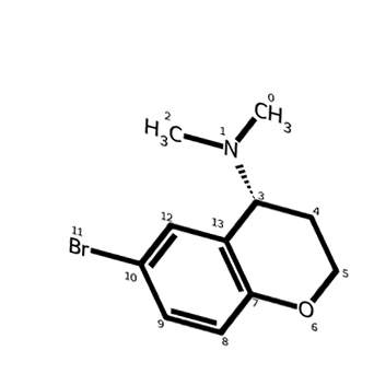 CN(C)[C@@H]1CCOc2ccc(Br)cc21